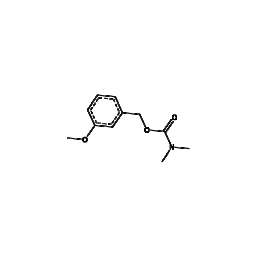 COc1cccc(COC(=O)N(C)C)c1